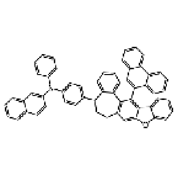 c1ccc(N(c2ccc([C@@H]3CCc4cc5oc6ccccc6c5c(-c5cc6ccccc6c6ccccc56)c4-c4ccccc43)cc2)c2ccc3ccccc3c2)cc1